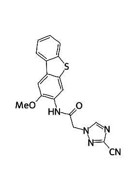 COc1cc2c(cc1NC(=O)Cn1cnc(C#N)n1)sc1ccccc12